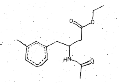 CCOC(=O)CC(Cc1cccc(C)c1)NC(C)=O